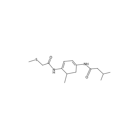 CSCC(=O)NC1=CC=C(NC(=O)CC(C)C)CC1C